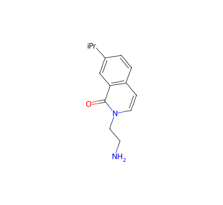 CC(C)c1ccc2ccn(CCN)c(=O)c2c1